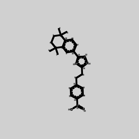 CC1(C)CCC(C)(C)c2cc(-c3nnc(CCc4ccc([N+](=O)[O-])cc4)o3)ccc21